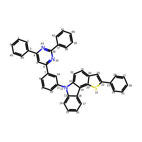 c1ccc(-c2cc(-c3cccc(-n4c5ccccc5c5c6sc(-c7ccccc7)cc6ccc54)c3)nc(-c3ccccc3)n2)cc1